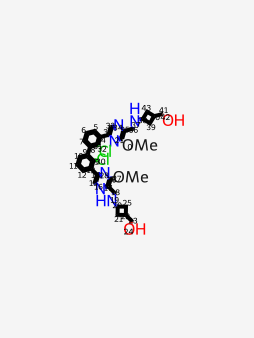 COc1nc(-c2cccc(-c3cccc(-c4cnc(CNC5CC(CO)C5)c(OC)n4)c3Cl)c2Cl)cnc1CNC1CC(CO)C1